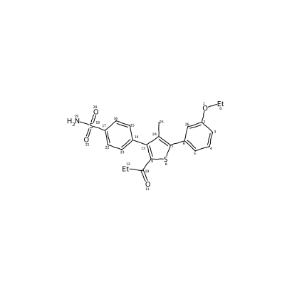 CCOc1cccc(-c2sc(C(=O)CC)c(-c3ccc(S(N)(=O)=O)cc3)c2C)c1